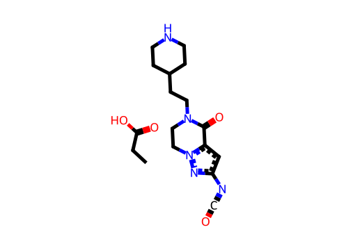 CCC(=O)O.O=C=Nc1cc2n(n1)CCN(CCC1CCNCC1)C2=O